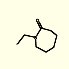 [CH2]CN1CCCCCC1=O